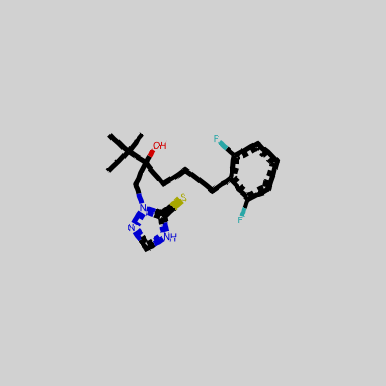 CC(C)(C)C(O)(CCCc1c(F)cccc1F)Cn1nc[nH]c1=S